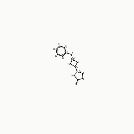 CC1CCN(C2CN(Cc3ccccc3)C2)C1